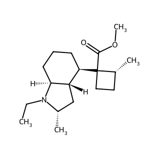 CCN1[C@@H](C)C[C@H]2[C@H](C3(C(=O)OC)CC[C@H]3C)CCC[C@@H]21